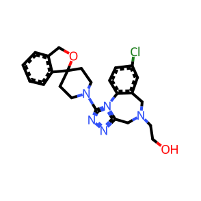 OCCN1Cc2cc(Cl)ccc2-n2c(nnc2N2CCC3(CC2)OCc2ccccc23)C1